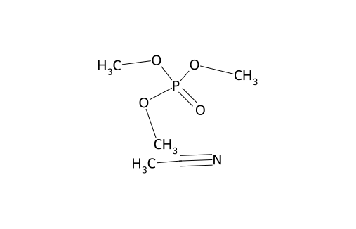 CC#N.COP(=O)(OC)OC